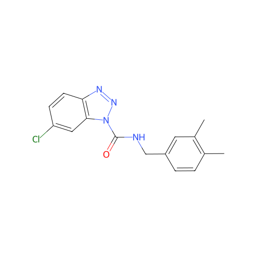 Cc1ccc(CNC(=O)n2nnc3ccc(Cl)cc32)cc1C